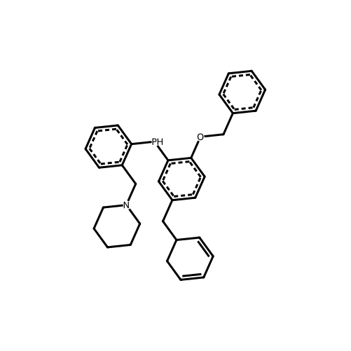 C1=CCC(Cc2ccc(OCc3ccccc3)c(Pc3ccccc3CN3CCCCC3)c2)C=C1